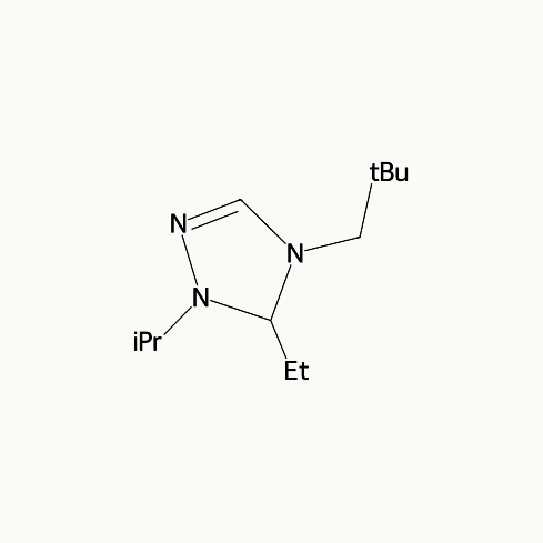 CCC1N(CC(C)(C)C)C=NN1C(C)C